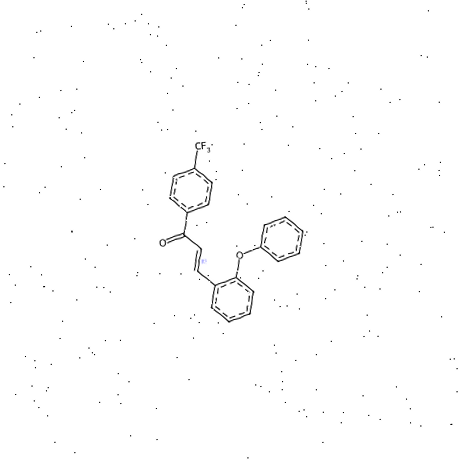 O=C(/C=C/c1ccccc1Oc1ccccc1)c1ccc(C(F)(F)F)cc1